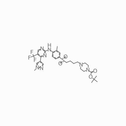 Cc1cc(S(=O)(=O)CCCCN2CCN(C(=O)OC(C)(C)C)CC2)ccc1Nc1ncc(C(F)(F)F)c(-c2cnn(C)c2)n1